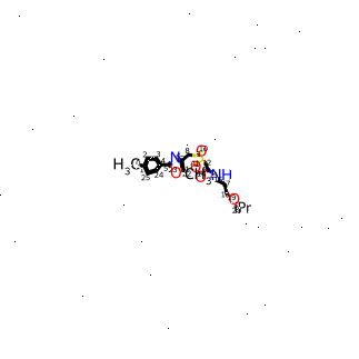 Cc1ccc(-c2nc(CS(=O)(=O)CC(=O)NCCCOC(C)C)c(C)o2)cc1